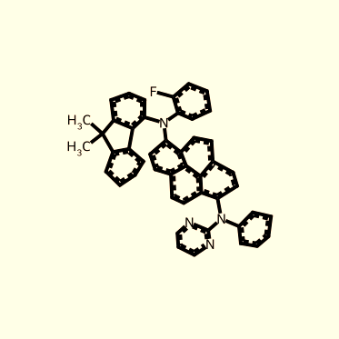 CC1(C)c2ccccc2-c2c(N(c3ccccc3F)c3ccc4ccc5c(N(c6ccccc6)c6ncccn6)ccc6ccc3c4c65)cccc21